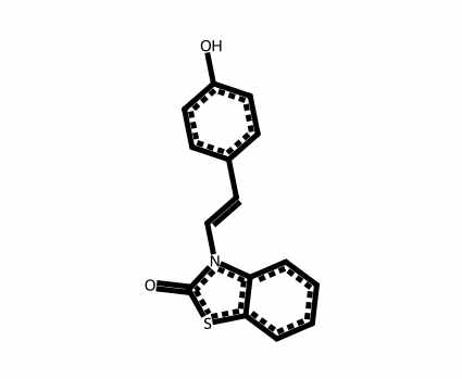 O=c1sc2ccccc2n1C=Cc1ccc(O)cc1